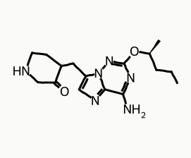 CCC[C@H](C)Oc1nc(N)c2ncc(CC3CCNCC3=O)n2n1